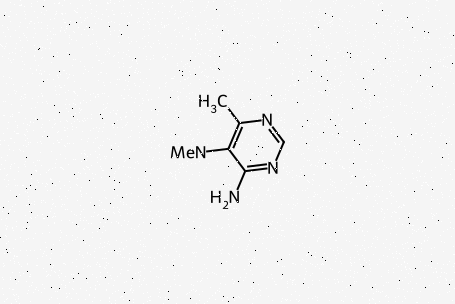 CNc1c(C)ncnc1N